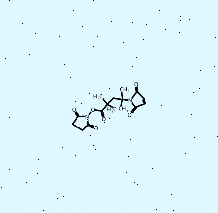 CC(C)(CC(C)(C)N1C(=O)C=CC1=O)C(=O)ON1C(=O)CCC1=O